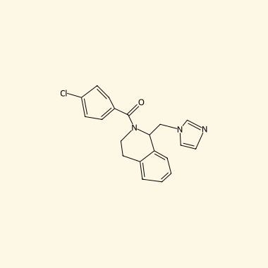 O=C(c1ccc(Cl)cc1)N1CCc2ccccc2C1Cn1ccnc1